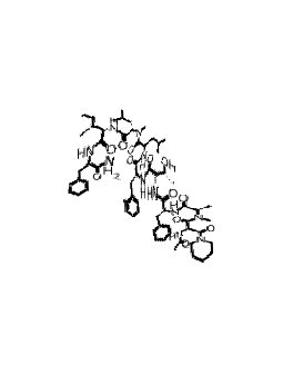 CC[C@H](C)[C@H](NC(=O)[C@H](CC(C)C)N(C)C(=O)C(CC(C)C)NC(=O)[C@H](Cc1ccccc1)NC(=O)[C@@H](NC(=O)[C@H](Cc1ccccc1)NC(=O)[C@@H](C)N(C)C(=O)[C@H](NC(C)=O)C(=O)N1CCCCC1)[C@@H](C)O)C(=O)NC(Cc1ccccc1)C(N)=O